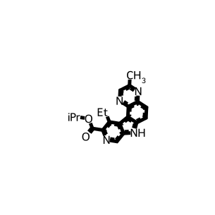 CCc1c(C(=O)OC(C)C)ncc2[nH]c3ccc4nc(C)cnc4c3c12